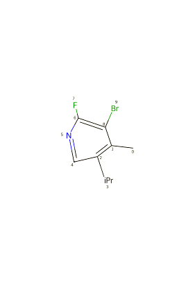 Cc1c(C(C)C)cnc(F)c1Br